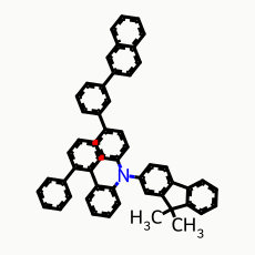 CC1(C)c2ccccc2-c2ccc(N(c3ccc(-c4cccc(-c5ccc6ccccc6c5)c4)cc3)c3ccccc3-c3ccccc3-c3ccccc3)cc21